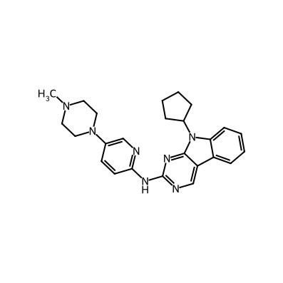 CN1CCN(c2ccc(Nc3ncc4c5ccccc5n(C5CCCC5)c4n3)nc2)CC1